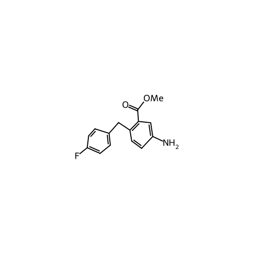 COC(=O)c1cc(N)ccc1Cc1ccc(F)cc1